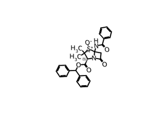 CC1(C)[C@H](C(=O)OC(c2ccccc2)c2ccccc2)N2C(=O)CC2(NC(=O)c2ccccc2)[S@@+]1[O-]